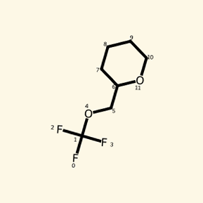 FC(F)(F)OCC1CCCCO1